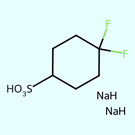 O=S(=O)(O)C1CCC(F)(F)CC1.[NaH].[NaH]